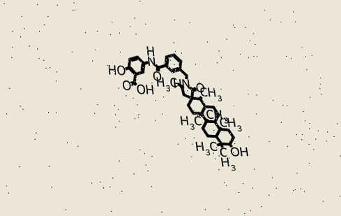 CCCC1(C(=O)NCc2cccc(C(=O)Nc3ccc(O)c(C(=O)O)c3)c2)CC[C@]2(C)C(CCC3C4(C)CCC(O)C(C)(C)C4CCC32C)C1C